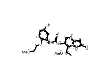 COCCOc1ncc(Cl)cc1NC(=O)Nc1cnc2cc(Cl)nn2c1[C@H](C)OC